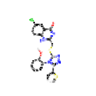 COc1ccccc1-n1c(SCc2nc(=O)c3cc(Cl)ccc3[nH]2)nnc1-c1cccs1